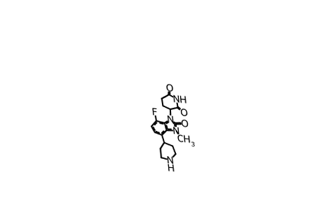 Cn1c(=O)n(C2CCC(=O)NC2=O)c2c(F)ccc(C3CCNCC3)c21